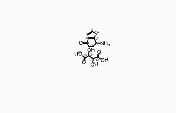 NC1CCC(=O)c2ccsc21.O=C(O)C(O)C(O)C(=O)O